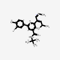 C/N=C\C(=C\C(C)C)c1cc(C(=O)NC(C)(C)C)cc(-c2ccc(Cl)c(F)c2)n1